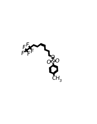 Cc1ccc(S(=O)(=O)OCCC/C=C\CCC(F)(F)C(F)(F)F)cc1